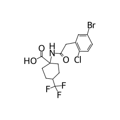 O=C(Cc1cc(Br)ccc1Cl)NC1(C(=O)O)CCC(C(F)(F)F)CC1